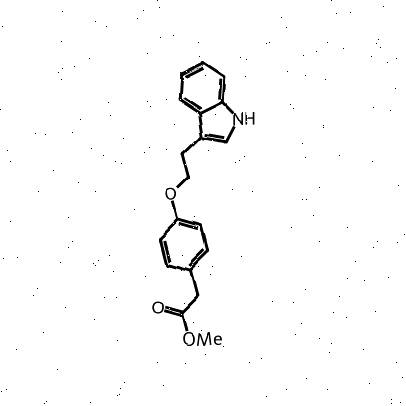 COC(=O)Cc1ccc(OCCc2c[nH]c3ccccc23)cc1